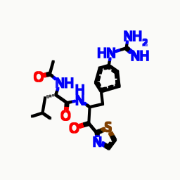 CC(=O)N[C@@H](CC(C)C)C(=O)NC(Cc1ccc(NC(=N)N)cc1)C(=O)c1nccs1